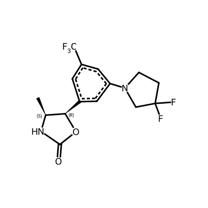 C[C@@H]1NC(=O)O[C@@H]1c1cc(N2CCC(F)(F)C2)cc(C(F)(F)F)c1